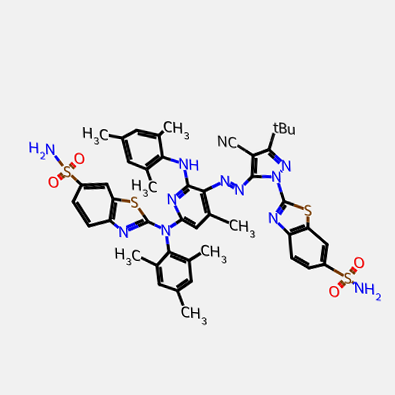 Cc1cc(C)c(Nc2nc(N(c3nc4ccc(S(N)(=O)=O)cc4s3)c3c(C)cc(C)cc3C)cc(C)c2N=Nc2c(C#N)c(C(C)(C)C)nn2-c2nc3ccc(S(N)(=O)=O)cc3s2)c(C)c1